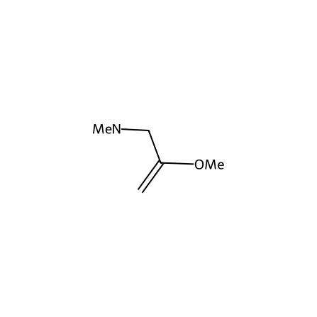 C=C(CNC)OC